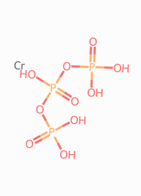 O=P(O)(O)OP(=O)(O)OP(=O)(O)O.[Cr]